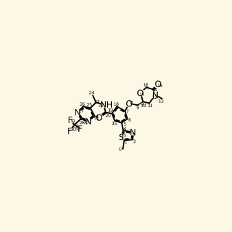 Cc1cnc(-c2cc(OC[C@@H]3CN(C)C(=O)CO3)cc(C(=O)NC(C)c3cnc(C(F)(F)F)nc3)c2)s1